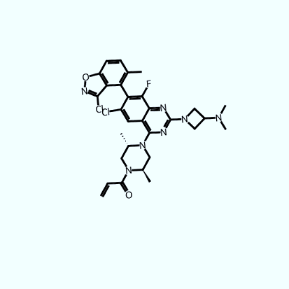 C=CC(=O)N1C[C@H](C)N(c2nc(N3CC(N(C)C)C3)nc3c(F)c(-c4c(C)ccc5onc(Cl)c45)c(Cl)cc23)C[C@H]1C